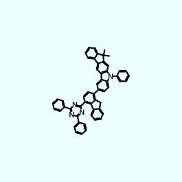 CC1(C)c2ccccc2-c2cc3c4cc(-c5ccc(-c6nc(-c7ccccc7)nc(-c7ccccc7)n6)c6c5Cc5ccccc5-6)ccc4n(-c4ccccc4)c3cc21